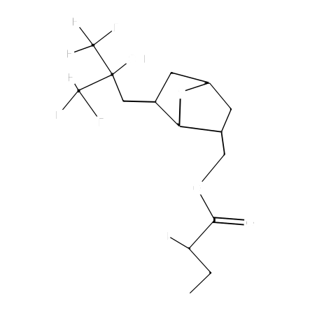 CCC(I)C(=O)OCC1CC2CC(CC(O)(C(F)(F)F)C(F)(F)F)C1S2